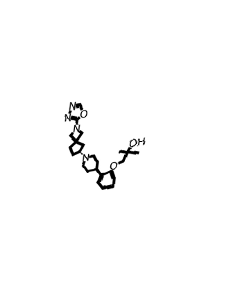 CC(C)(O)COc1ccccc1C1CCN([C@@H]2CCC3(C2)CN(c2nnco2)C3)CC1